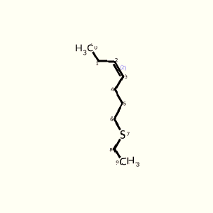 CC/C=C\CCCSCC